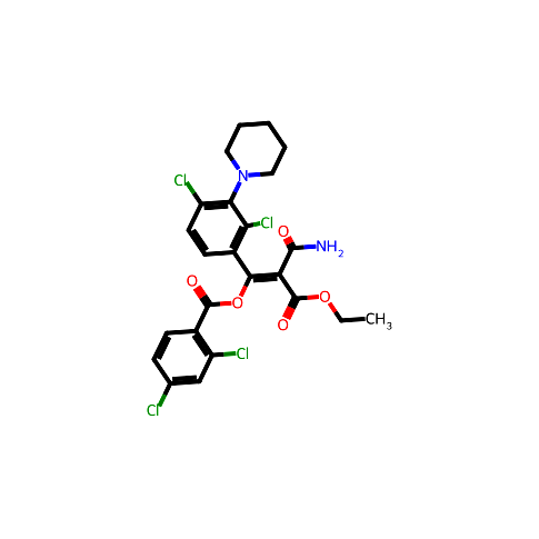 CCOC(=O)C(C(N)=O)=C(OC(=O)c1ccc(Cl)cc1Cl)c1ccc(Cl)c(N2CCCCC2)c1Cl